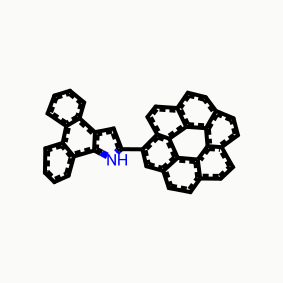 c1ccc2c(c1)c1ccccc1c1[nH]c(-c3cc4ccc5ccc6ccc7ccc8ccc3c3c8c7c6c5c43)cc21